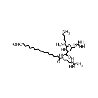 N=C(N)NCCC[C@H](NC(=O)[C@H](CCCNC(=N)N)NC(=O)[C@@H](N)CCCCN)C(=O)CCCCCCCCCCCCCCC[C]=O